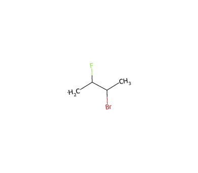 [CH2]C(F)C(C)Br